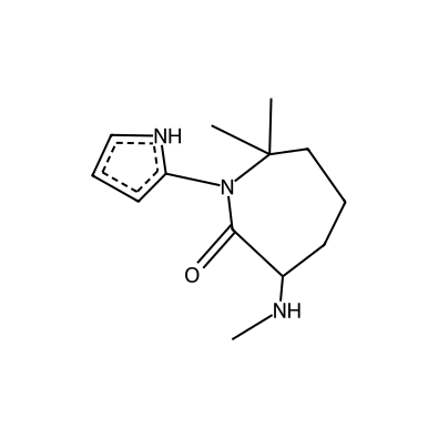 CNC1CCCC(C)(C)N(c2ccc[nH]2)C1=O